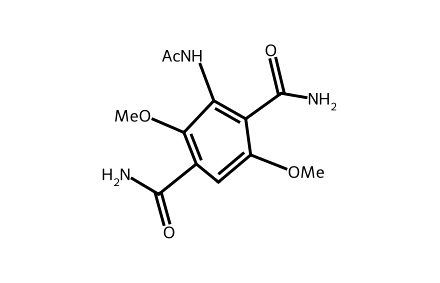 COc1cc(C(N)=O)c(OC)c(NC(C)=O)c1C(N)=O